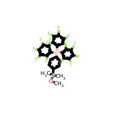 CO[Si](C)(C)c1ccc([B-](c2c(F)c(F)c(F)c(F)c2F)(c2c(F)c(F)c(F)c(F)c2F)c2c(F)c(F)c(F)c(F)c2F)cc1